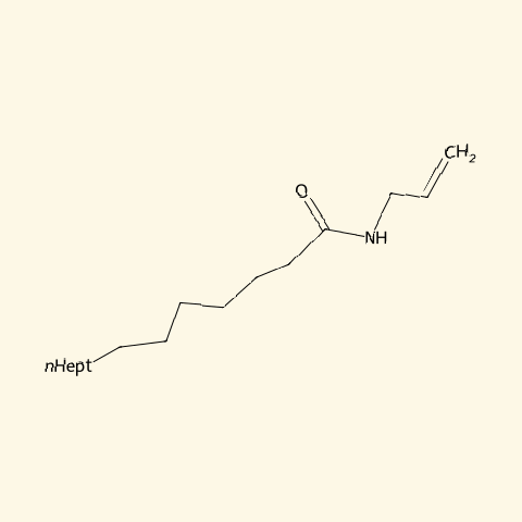 C=CCNC(=O)CCCCCCCCCCCCC